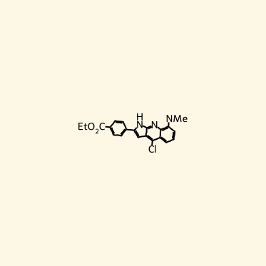 CCOC(=O)c1ccc(-c2cc3c(Cl)c4cccc(NC)c4nc3[nH]2)cc1